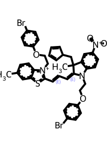 Cc1ccc2c(c1)sc(/C=C/C=C1/N(CCOc3ccc(Br)cc3)c3ccc([N+](=O)[O-])cc3C1(C)CC1C=CC=C1)[n+]2CCOc1ccc(Br)cc1